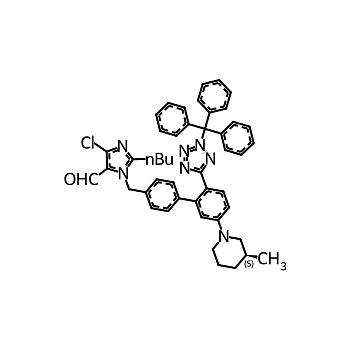 CCCCc1nc(Cl)c(C=O)n1Cc1ccc(-c2cc(N3CCC[C@H](C)C3)ccc2-c2nnn(C(c3ccccc3)(c3ccccc3)c3ccccc3)n2)cc1